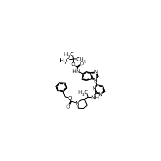 CC(Nc1nccc(-n2cnc3cc(NC(=O)OC(C)(C)C)ccc32)n1)C1CCCN(C(=O)OCc2ccccc2)C1